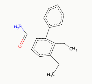 CCc1cccc(-c2ccccc2)c1CC.NC=O